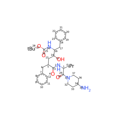 CC(C)C(NC(=O)C(Cc1ccccc1)CC(O)C(Cc1ccccc1)NC(=O)OC(C)(C)C)C(=O)N1CCC(N)CC1